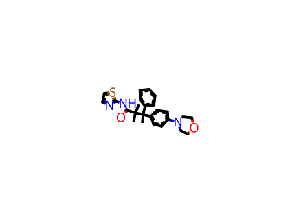 CC(C)(C(=O)Nc1nccs1)C(C)(c1ccccc1)c1ccc(N2CCOCC2)cc1